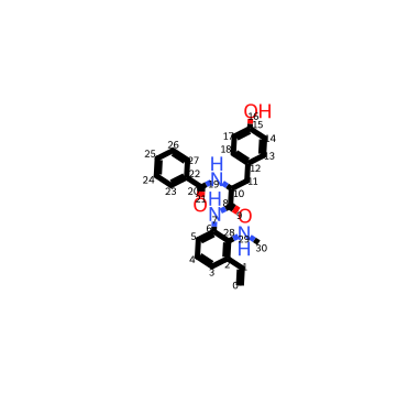 C=Cc1cccc(NC(=O)C(Cc2ccc(O)cc2)NC(=O)c2ccccc2)c1NC